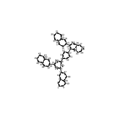 c1ccc2cc(-c3nc(-c4ccc(-c5c(-c6ccc7ccccc7c6)nc6cnccn56)cc4)nc(-c4ccc5ccccc5c4)n3)ccc2c1